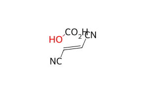 N#CC=CC#N.O=C(O)O